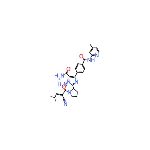 Cc1ccnc(NC(=O)c2ccc(-c3nc(C4CCCN4C(=O)/C(C#N)=C/C(C)C)n(N)c3C(N)=O)cc2)c1